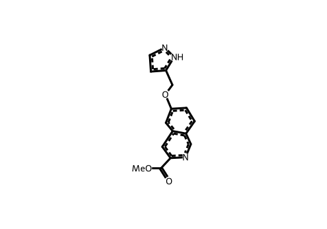 COC(=O)c1cc2cc(OCc3ccn[nH]3)ccc2cn1